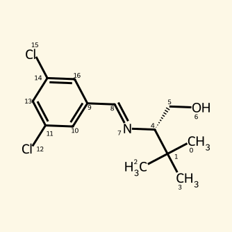 CC(C)(C)[C@@H](CO)/N=C/c1cc(Cl)cc(Cl)c1